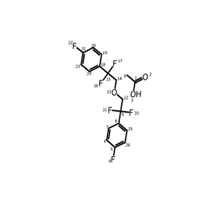 CC(=O)O.Fc1ccc(C(F)(F)COCC(F)(F)c2ccc(F)cc2)cc1